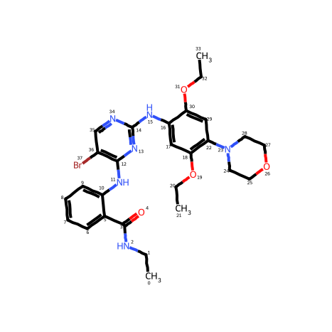 CCNC(=O)c1ccccc1Nc1nc(Nc2cc(OCC)c(N3CCOCC3)cc2OCC)ncc1Br